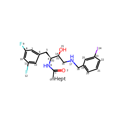 CCCCCCCC(=O)N[C@@H](Cc1cc(F)cc(F)c1)[C@@H](O)CNCc1cccc(I)c1